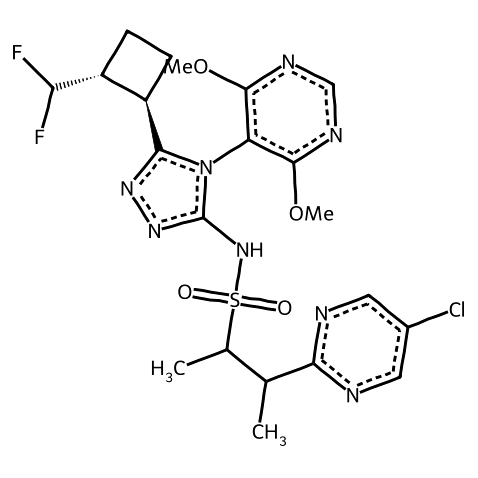 COc1ncnc(OC)c1-n1c(NS(=O)(=O)C(C)C(C)c2ncc(Cl)cn2)nnc1[C@@H]1CC[C@H]1C(F)F